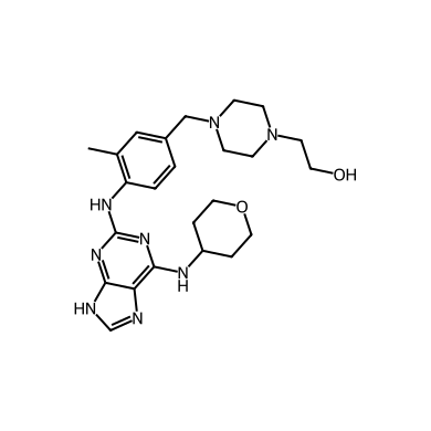 Cc1cc(CN2CCN(CCO)CC2)ccc1Nc1nc(NC2CCOCC2)c2nc[nH]c2n1